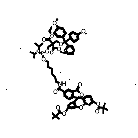 CCOC(=O)C(COP(OCCCCCCNC(=O)c1ccc2c(c1)C(=O)OC21c2ccc(OC(=O)C(C)(C)C)cc2Oc2cc(OC(=O)C(C)(C)C)ccc21)N(C(C)C)C(C)C)(COC(c1ccccc1)(c1ccc(OC)cc1)c1ccc(OC)cc1)C(=O)OCC